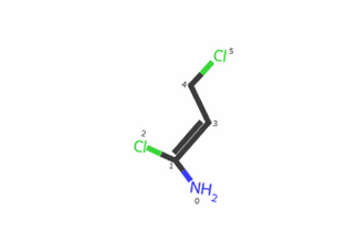 NC(Cl)=CCCl